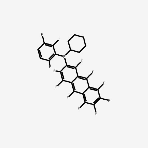 Fc1ccc(F)c(P(c2c(F)c(F)c3c(F)c4c(F)c(F)c(F)c(F)c4c(F)c3c2F)C2CCCCC2)c1F